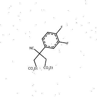 CCOC(=O)CC(C#N)(CC(=O)OCC)c1ccc(F)c(F)c1